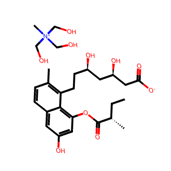 CC[C@H](C)C(=O)Oc1cc(O)cc2ccc(C)c(CC[C@@H](O)C[C@@H](O)CC(=O)[O-])c12.C[N+](CO)(CO)CO